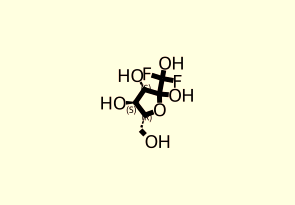 OC[C@H]1OC(O)(C(O)(F)F)[C@@H](O)[C@@H]1O